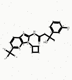 CC(O)(CC(=O)Nc1nc2ccc(C(F)(F)F)nc2n1C1CCC1)c1cccc(Cl)c1